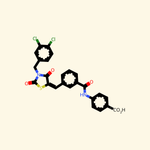 O=C(O)c1ccc(NC(=O)c2cccc(C=C3SC(=O)N(Cc4ccc(Cl)c(Cl)c4)C3=O)c2)cc1